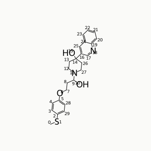 CSc1ccc(OCCC(O)N2CCC(O)(c3cnc4ccccc4c3)CC2)cc1